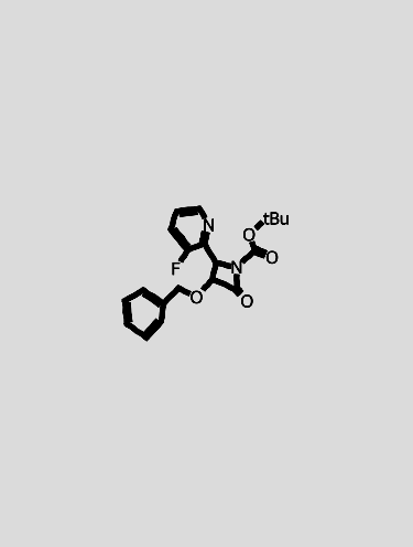 CC(C)(C)OC(=O)N1C(=O)C(OCc2ccccc2)C1c1ncccc1F